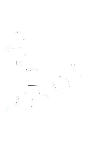 CC1=C(CC(=O)NCC(O)CO)c2cc(F)ccc2/C1=C/c1ccc([S+](C)[O-])cc1